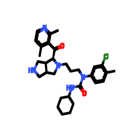 Cc1ccc(N(CCCN2CC3CNCC3[C@H]2C(=O)c2c(C)ccnc2C)C(=O)NC2CCCCC2)cc1Cl